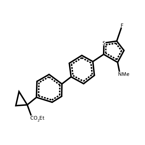 CCOC(=O)C1(c2ccc(-c3ccc(-c4sc(F)cc4NC)cc3)cc2)CC1